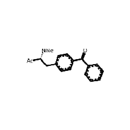 CN[C@H](Cc1ccc(C(=O)c2ccccc2)cc1)C(C)=O